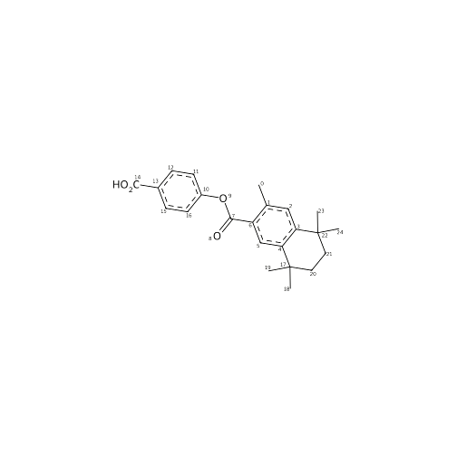 Cc1cc2c(cc1C(=O)Oc1ccc(C(=O)O)cc1)C(C)(C)CCC2(C)C